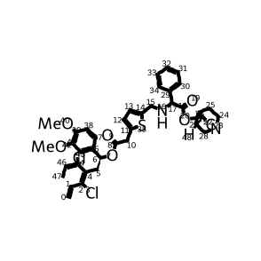 C=C/C(Cl)=C(C[C@H](OC(=O)Cc1ccc(CNC(C(=O)O[C@H]2CN3CCC2CC3)c2ccccc2)s1)c1ccc(OC)c(OC)c1)\C(Cl)=C/C